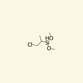 CO[SiH](OC)C(C)CCl